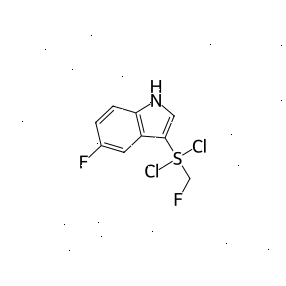 FCS(Cl)(Cl)c1c[nH]c2ccc(F)cc12